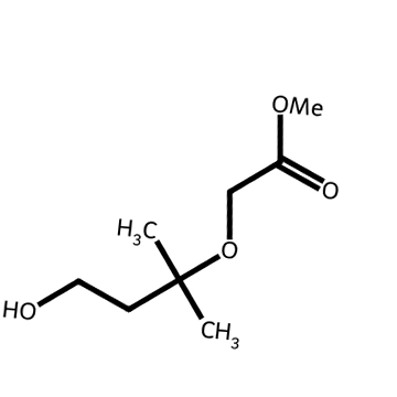 COC(=O)COC(C)(C)CCO